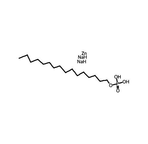 CCCCCCCCCCCCCCCCOP(=O)(O)O.[NaH].[NaH].[Zn]